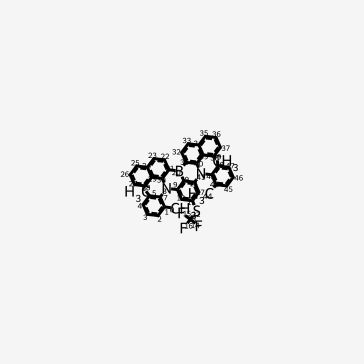 Cc1cccc(C)c1N1c2cc(SC(F)(F)F)cc3c2B(c2ccc4ccccc4c21)c1ccc2ccccc2c1N3c1c(C)cccc1C